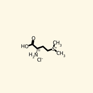 C[S+](C)CC[C@H](N)C(=O)O.[Cl-]